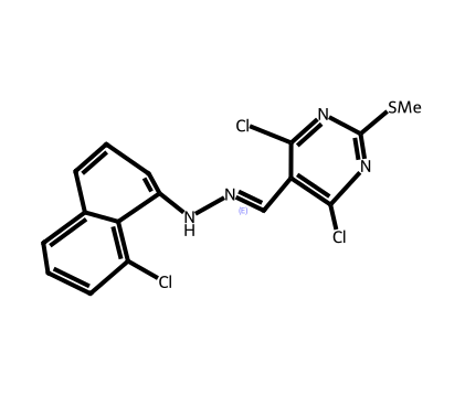 CSc1nc(Cl)c(/C=N/Nc2cccc3cccc(Cl)c23)c(Cl)n1